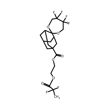 CC(F)(F)C(=O)OCCOC(=O)C12CC3CC(C1)C1(OCC(F)(F)C(F)(F)CO1)C(C3)C2